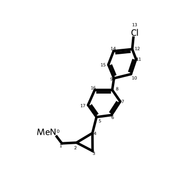 CNCC1CC1c1ccc(-c2ccc(Cl)cc2)cc1